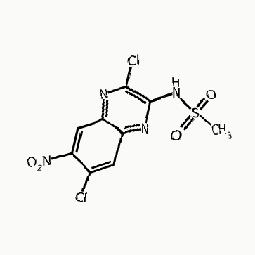 CS(=O)(=O)Nc1nc2cc(Cl)c([N+](=O)[O-])cc2nc1Cl